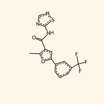 Cc1oc(-c2cccc(C(F)(F)F)c2)cc1C(=O)Nc1ncns1